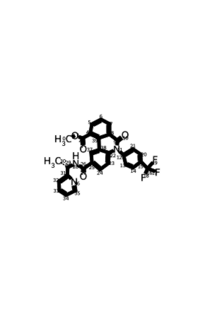 COC(=O)c1cccc2c(=O)n(-c3ccc(C(F)(F)F)cc3)c3ccc(C(=O)N[C@@H](C)c4ccccn4)cc3c12